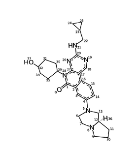 O=c1c2cc(N3CCN4CCC[C@@H]4C3)ccc2c2cnc(NCC3CC3)nc2n1C1CCC(O)CC1